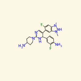 CN1NN(C)c2cc(C3=CN=C(N4CCC(N)CC4)NC3c3ccc(N)c(F)c3)c(F)cc21